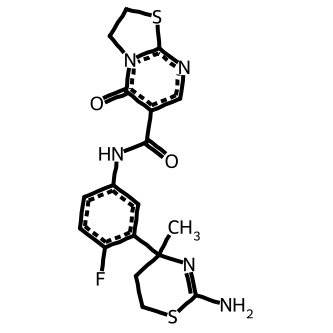 CC1(c2cc(NC(=O)c3cnc4n(c3=O)CCS4)ccc2F)CCSC(N)=N1